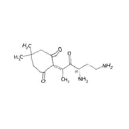 CC(C(=O)[C@@H](N)CCN)=C1C(=O)CC(C)(C)CC1=O